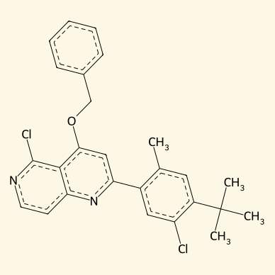 Cc1cc(C(C)(C)C)c(Cl)cc1-c1cc(OCc2ccccc2)c2c(Cl)nccc2n1